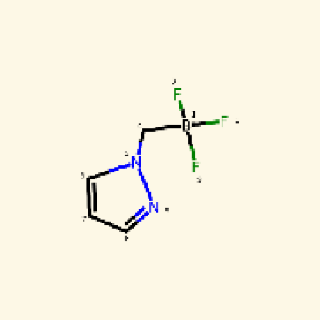 F[B-](F)(F)Cn1cccn1